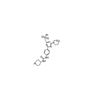 CC(C)S(=O)(=O)Cc1cc(N2CCOCC2)nc(-c2ccc(NC(=O)NC3CCN(C)CC3)cc2)n1